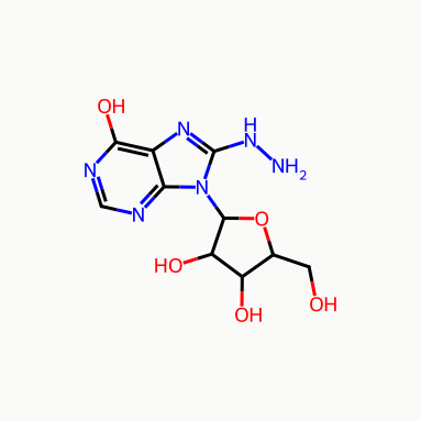 NNc1nc2c(O)ncnc2n1C1OC(CO)C(O)C1O